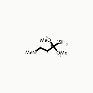 CNCCC([SiH3])(OC)OC